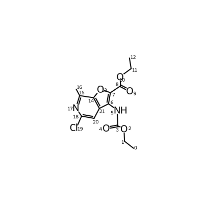 CCOC(=O)Nc1c(C(=O)OCC)oc2c(C)nc(Cl)cc12